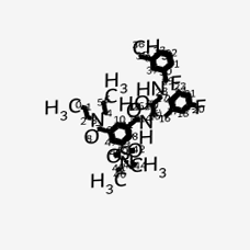 CCCN(CCC)C(=O)c1cc(C(=O)N[C@@H](Cc2cc(F)cc(F)c2)[C@H](O)CNCc2cccc(CC)c2)cc(S(=O)(=O)N(C)CC)c1